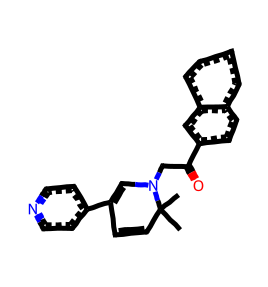 CC1(C)C=CC(c2ccncc2)=CN1CC(=O)c1ccc2ccccc2c1